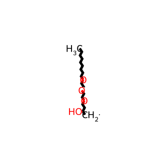 [CH2]C(O)CCOCCOCCOCCCCCCCCC